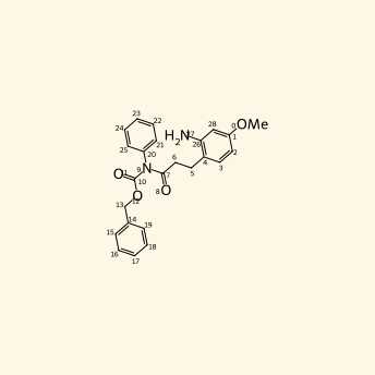 COc1ccc(CCC(=O)N(C(=O)OCc2ccccc2)c2ccccc2)c(N)c1